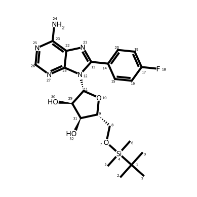 CC(C)(C)[Si](C)(C)OC[C@H]1O[C@@H](n2c(-c3ccc(F)cc3)nc3c(N)ncnc32)[C@H](O)[C@@H]1O